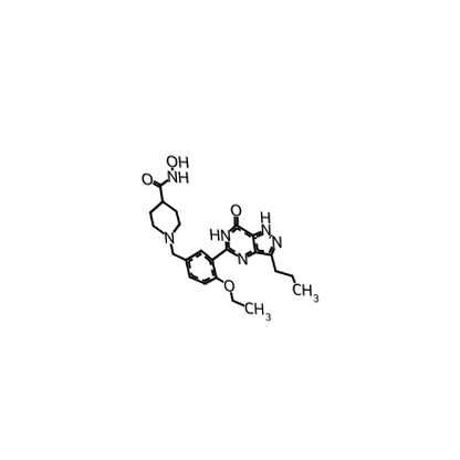 CCCc1n[nH]c2c(=O)[nH]c(-c3cc(CN4CCC(C(=O)NO)CC4)ccc3OCC)nc12